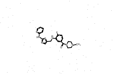 CN1CCN(C(=O)c2ccc(F)c(NCc3cnc(Nc4ccccn4)s3)c2)CC1